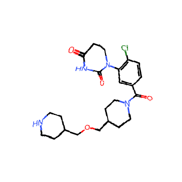 O=C1CCN(c2cc(C(=O)N3CCC(COCC4CCNCC4)CC3)ccc2Cl)C(=O)N1